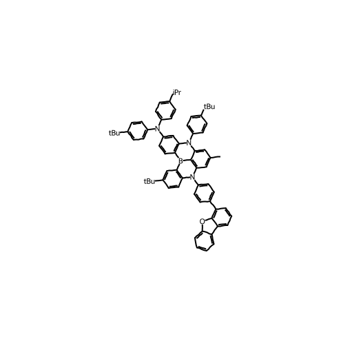 Cc1cc2c3c(c1)N(c1ccc(C(C)(C)C)cc1)c1cc(N(c4ccc(C(C)C)cc4)c4ccc(C(C)(C)C)cc4)ccc1B3c1cc(C(C)(C)C)ccc1N2c1ccc(-c2cccc3c2oc2ccccc23)cc1